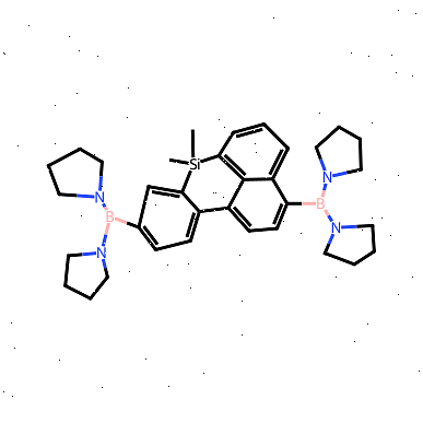 C[Si]1(C)c2cc(B(N3CCCC3)N3CCCC3)ccc2-c2ccc(B(N3CCCC3)N3CCCC3)c3cccc1c23